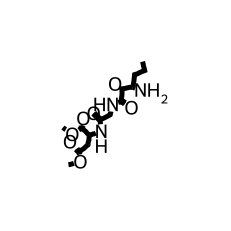 CCCC(N)C(=O)C(=O)NCC(=O)NC(CC(=O)OC)C(=O)OC